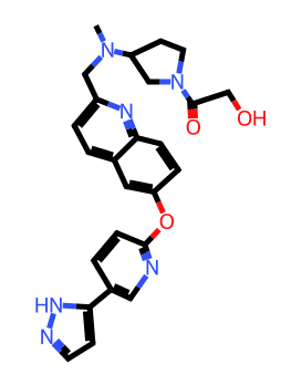 CN(Cc1ccc2cc(Oc3ccc(-c4ccn[nH]4)cn3)ccc2n1)C1CCN(C(=O)CO)C1